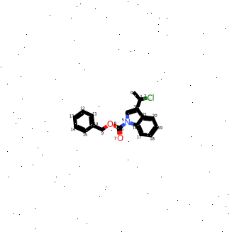 CC(Cl)c1cn(C(=O)OCc2ccccc2)c2ccccc12